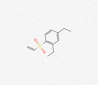 C=CS(=O)(=O)c1ccc(CC)cc1CC